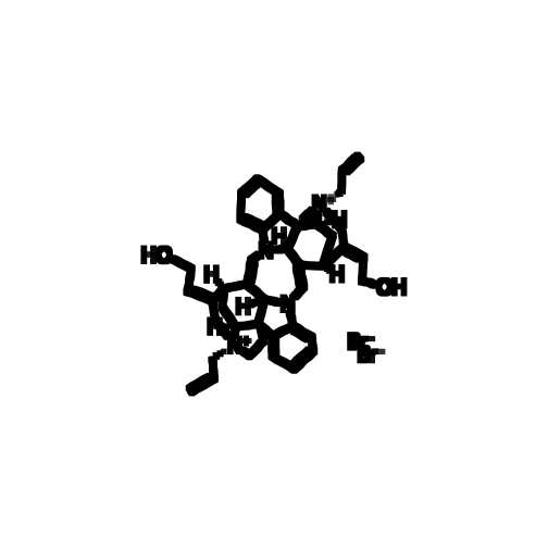 C=CC[N@@+]12CC[C@@]34c5ccccc5N5/C=C6/[C@H]7C[C@H]8[C@@]9(CC[N@@+]8(CC=C)C/C7=C/CO)c7ccccc7N(/C=C(/[C@@H](C[C@@H]31)/C(=C\CO)C2)[C@H]54)[C@@H]69.[Br-].[Br-]